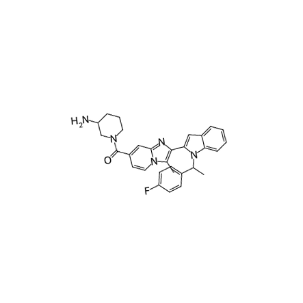 Cc1c(-c2cc3ccccc3n2C(C)c2ccc(F)cc2)nc2cc(C(=O)N3CCCC(N)C3)ccn12